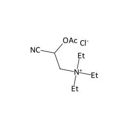 CC[N+](CC)(CC)CC(C#N)OC(C)=O.[Cl-]